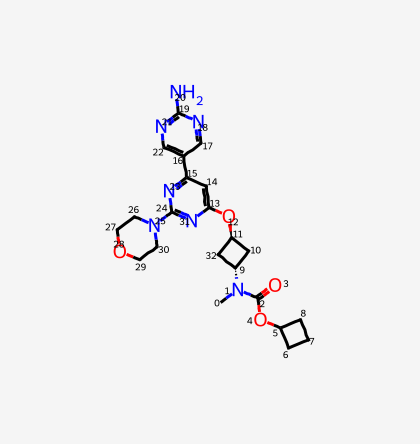 CN(C(=O)OC1CCC1)[C@H]1C[C@H](Oc2cc(-c3cnc(N)nc3)nc(N3CCOCC3)n2)C1